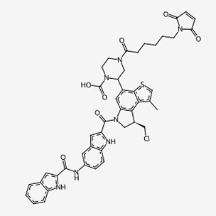 Cc1csc2c(C3CN(C(=O)CCCCCN4C(=O)C=CC4=O)CCN3C(=O)O)cc3c(c12)[C@@H](CCl)CN3C(=O)c1cc2cc(NC(=O)c3cc4ccccc4[nH]3)ccc2[nH]1